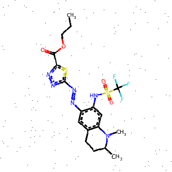 CCCOC(=O)c1nnc(N=Nc2cc3c(cc2NS(=O)(=O)C(F)(F)F)N(C)C(C)CC3)s1